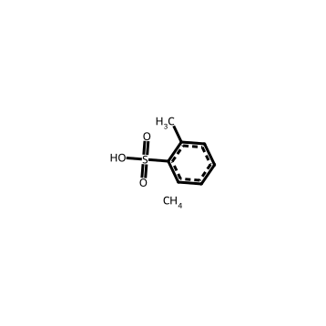 C.Cc1ccccc1S(=O)(=O)O